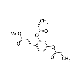 C=CC(=O)Oc1ccc(C=CC(=O)OC)c(OC(=O)C=C)c1